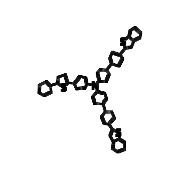 c1ccc(-c2ccc(-c3ccc(N(c4ccc(-c5ccc(-c6cc7ccccc7s6)cc5)cc4)c4ccc(-c5ccc(-c6cc7ccccc7s6)cc5)cc4)cc3)s2)cc1